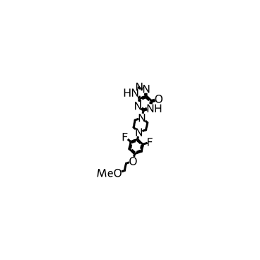 COCCOc1cc(F)c(N2CCN(c3nc4[nH]nnc4c(=O)[nH]3)CC2)c(F)c1